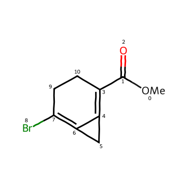 COC(=O)C1=C2CC2=C(Br)CC1